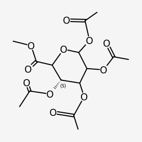 COC(=O)C1OC(OC(C)=O)C(OC(C)=O)C(OC(C)=O)[C@@H]1OC(C)=O